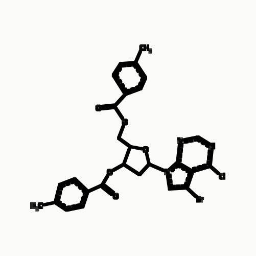 Cc1ccc(C(=O)OCC2OC(n3cc(Br)c4c(Cl)ncnc43)CC2OC(=O)c2ccc(C)cc2)cc1